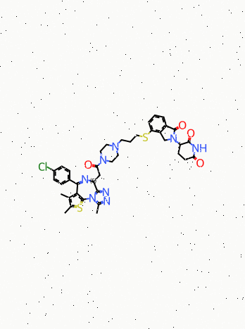 Cc1sc2c(c1C)C(c1ccc(Cl)cc1)=N[C@@H](CC(=O)N1CCN(CCCSc3cccc4c3CN(C3CCC(=O)NC3=O)C4=O)CC1)c1nnc(C)n1-2